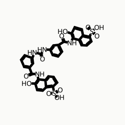 O=C(Nc1cccc(C(=O)Nc2c(O)ccc3c(S(=O)(=O)O)cccc23)c1)Nc1cccc(C(=O)Nc2c(O)ccc3c(S(=O)(=O)O)cccc23)c1